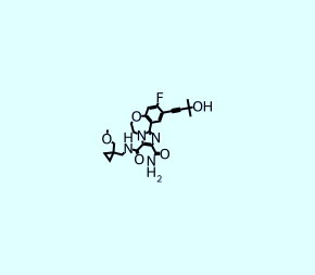 COCC1(CNC(=O)c2c(C(N)=O)nc3n2CCOc2cc(F)c(C#CC(C)(C)O)cc2-3)CC1